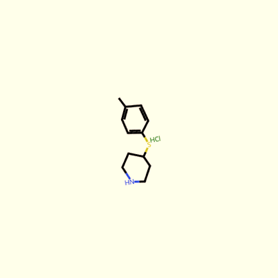 Cc1ccc(SC2CCNCC2)cc1.Cl